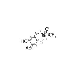 CC(=O)c1cc2c(cc1O)CCN(C(=O)C(F)(F)F)CC2